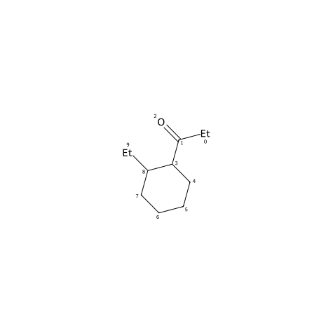 CCC(=O)C1CCCCC1CC